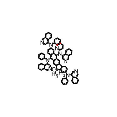 CC1(C)c2cc(N(c3ccccc3)c3cncc4ccccc34)ccc2-c2cc3c(N(c4ccccn4)c4cncc5ccccc45)c4cc(N(c5ccccc5)c5cncc6ccccc56)ccc4c(N(c4ccccc4)c4cncc5ccccc45)c3cc21